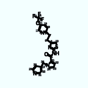 O=C(Nc1nc(CCc2ccc(OC(F)(F)F)cn2)cs1)c1cccn1Cc1ccncc1